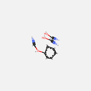 N#CO.N#CO.N#COc1ccccc1